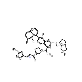 CC(C)c1noc(/C=C/C(=O)N2CC[C@@H](N(C)c3nc(OC[C@]45CCCN4C[C@H](F)C5)nc4c(F)c(-c5cccc6ccc(F)c(Cl)c56)ncc34)C2)n1